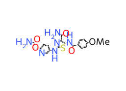 COc1ccc(C(=O)Nc2sc(Nc3ccc(OC(N)=O)nc3)nc2C(N)=O)cc1